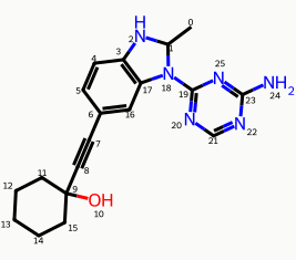 CC1Nc2ccc(C#CC3(O)CCCCC3)cc2N1c1ncnc(N)n1